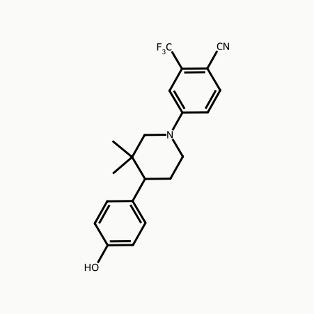 CC1(C)CN(c2ccc(C#N)c(C(F)(F)F)c2)CCC1c1ccc(O)cc1